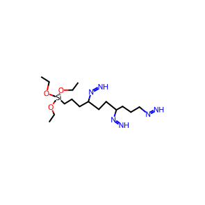 CCO[Si](CCCC(CCC(CCCN=N)N=N)N=N)(OCC)OCC